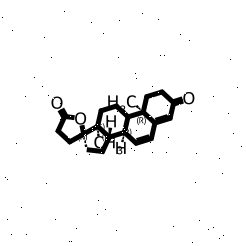 C[C@]12CCC(=O)C=C1C=C[C@@H]1C2CC[C@@]2(C)[C@H]1CC[C@@]21CCC(=O)O1